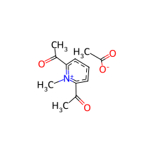 CC(=O)[O-].CC(=O)c1cccc(C(C)=O)[n+]1C